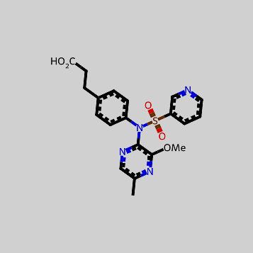 COc1nc(C)cnc1N(c1ccc(CCC(=O)O)cc1)S(=O)(=O)c1cccnc1